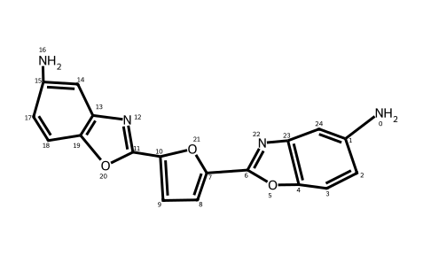 Nc1ccc2oc(-c3ccc(-c4nc5cc(N)ccc5o4)o3)nc2c1